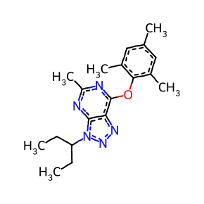 CCC(CC)n1nnc2c(Oc3c(C)cc(C)cc3C)nc(C)nc21